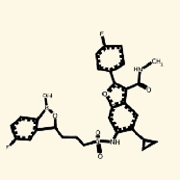 CNC(=O)c1c(-c2ccc(F)cc2)oc2cc(NS(=O)(=O)CCCC3OB(O)c4ccc(F)cc43)c(C3CC3)cc12